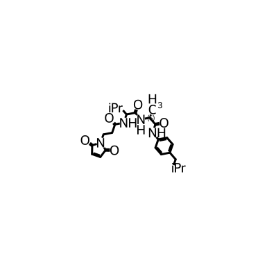 CC(C)Cc1ccc(NC(=O)[C@H](C)NC(=O)C(NC(=O)CCN2C(=O)C=CC2=O)C(C)C)cc1